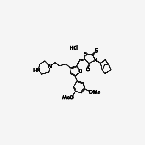 COc1cc(OC)cc(-c2cc(CCCN3CCNCC3)c(/C=C3/SC(=S)N(C4CC5CCC4C5)C3=O)o2)c1.Cl